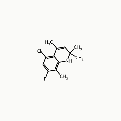 CC1=CC(C)(C)Nc2c(C)c(F)cc(Cl)c21